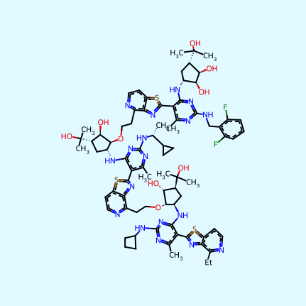 CCc1nccc2sc(-c3c(C)nc(NC4CCC4)nc3N[C@@H]3C[C@H](C(C)(C)O)[C@@H](O)[C@H]3OCCc3nccc4sc(-c5c(C)nc(N[C@H](C)C6CC6)nc5N[C@@H]5C[C@H](C(C)(C)O)[C@@H](O)[C@H]5OCCc5nccc6sc(-c7c(C)nc(NCc8c(F)cccc8F)nc7N[C@@H]7C[C@H](C(C)(C)O)[C@@H](O)[C@H]7O)nc56)nc34)nc12